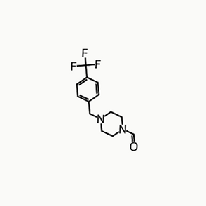 O=CN1CCN(Cc2ccc(C(F)(F)F)cc2)CC1